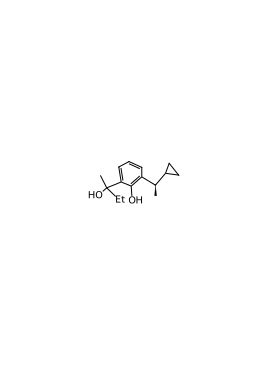 CCC(C)(O)c1cccc([C@H](C)C2CC2)c1O